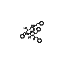 CC(C)[C@@H](C(=O)N[C@@H](Cc1ccccc1)[C@@H](O)CCC(=O)NCCc1ccccc1)N(C(=O)Cc1ccccc1)C(=O)Cc1ccccc1